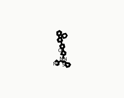 c1ccc2c(c1)-c1ccc(-c3ccc4c(c3)oc3cc(-c5nc(-c6ccncc6)c6sc7ccccc7c6n5)ccc34)cc1C21CCCCC1